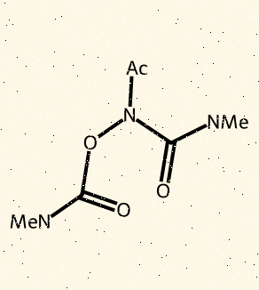 CNC(=O)ON(C(C)=O)C(=O)NC